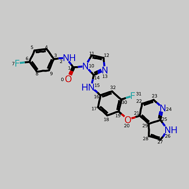 O=C(Nc1ccc(F)cc1)n1ccnc1Nc1ccc(Oc2ccnc3[nH]ccc23)c(F)c1